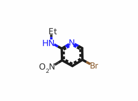 CCNc1ncc(Br)cc1[N+](=O)[O-]